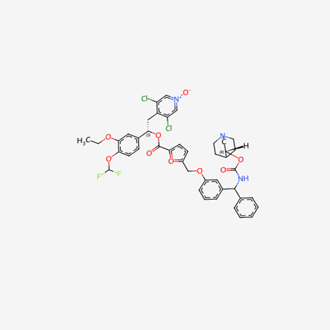 CCOc1cc([C@H](Cc2c(Cl)c[n+]([O-])cc2Cl)OC(=O)c2ccc(COc3cccc(C(NC(=O)O[C@H]4CN5CCC4CC5)c4ccccc4)c3)o2)ccc1OC(F)F